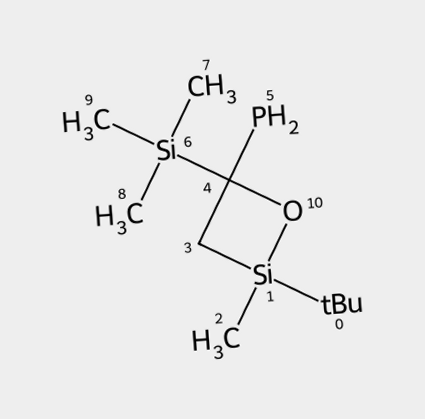 CC(C)(C)[Si]1(C)CC(P)([Si](C)(C)C)O1